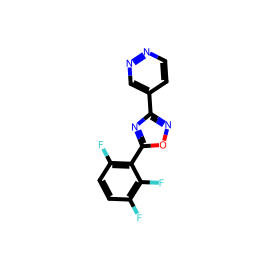 Fc1ccc(F)c(-c2nc(-c3ccnnc3)no2)c1F